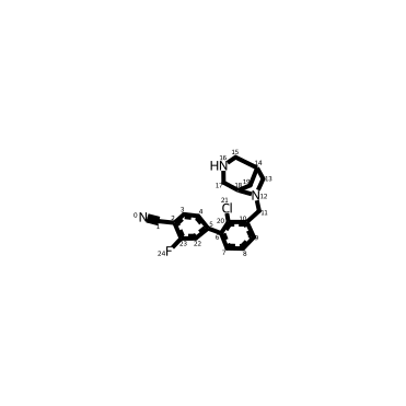 N#Cc1ccc(-c2cccc(CN3CC4CNCC3C4)c2Cl)cc1F